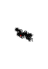 CCOc1cccc(-n2cc(C(=O)N3CCC(C(=O)OC)(c4cc(C(=O)OCc5ccccc5)c5ccccc5c4)CC3)nc2-c2ccc(C)cc2)c1